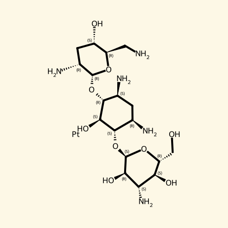 NC[C@H]1O[C@H](O[C@H]2[C@H](O)[C@@H](O[C@H]3O[C@H](CO)[C@@H](O)[C@H](N)[C@H]3O)[C@H](N)C[C@@H]2N)[C@H](N)C[C@@H]1O.[Pt]